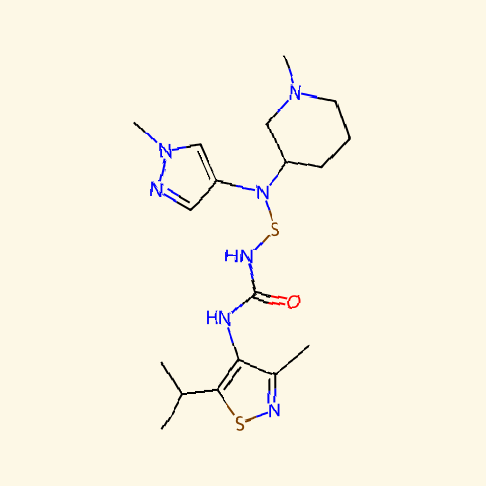 Cc1nsc(C(C)C)c1NC(=O)NSN(c1cnn(C)c1)C1CCCN(C)C1